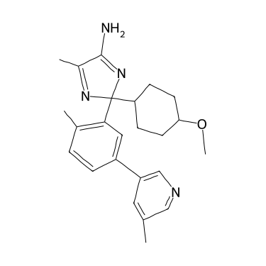 COC1CCC(C2(c3cc(-c4cncc(C)c4)ccc3C)N=C(C)C(N)=N2)CC1